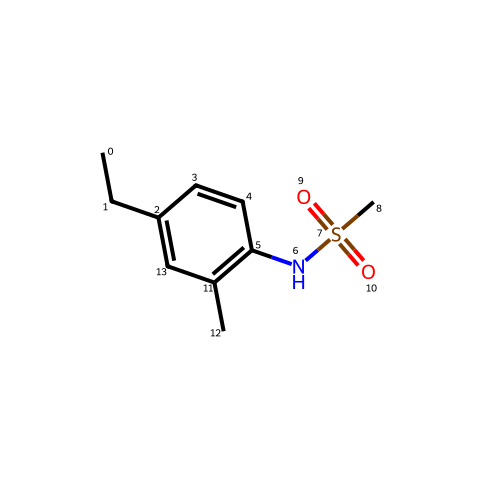 CCc1ccc(NS(C)(=O)=O)c(C)c1